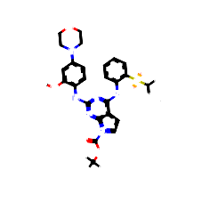 COc1cc(N2CCOCC2)ccc1Nc1nc(Nc2ccccc2S(=O)(=O)C(C)C)c2ccn(C(=O)OC(C)(C)C)c2n1